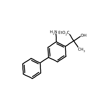 CCOC(=O)C(C)(O)c1ccc(-c2ccccc2)cc1N